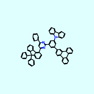 c1ccc(-c2cc(-c3cccc4c3-c3ccccc3C4(c3ccccc3)c3ccccc3)nc(-c3cc(-c4ccc5c6ccccc6c6ccccc6c5c4)cc(-n4c5ccccc5c5ccccc54)c3)n2)cc1